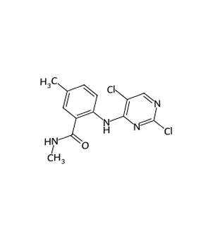 CNC(=O)c1cc(C)ccc1Nc1nc(Cl)ncc1Cl